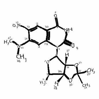 C[C@H]1O[C@@H](n2c(=O)[nH]c(=O)c3cc([N+](=O)[O-])c(N(C)C)cc32)[C@@H]2OC(C)(C)O[C@@H]21